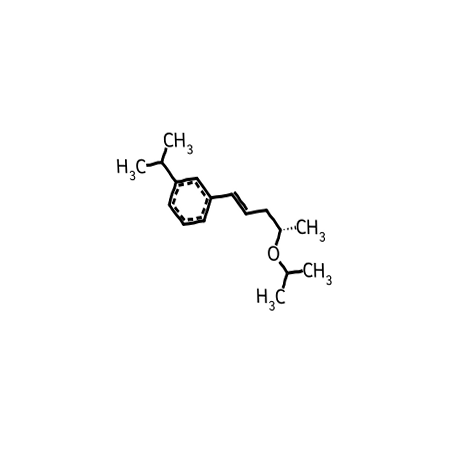 CC(C)O[C@@H](C)C/C=C/c1cccc(C(C)C)c1